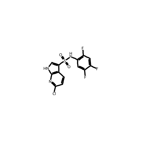 O=S(=O)(Nc1cc(F)c(F)cc1F)c1c[nH]c2nc(Cl)ccc12